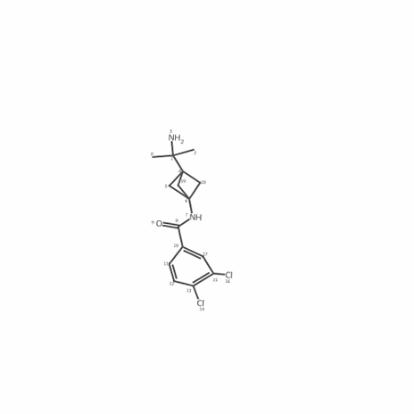 CC(C)(N)C12CC(NC(=O)c3ccc(Cl)c(Cl)c3)(C1)C2